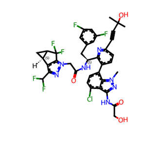 Cn1nc(NC(=O)CO)c2c(Cl)ccc(-c3ccc(C#CC(C)(C)O)nc3[C@H](Cc3cc(F)cc(F)c3)NC(=O)Cn3nc(C(F)F)c4c3C(F)(F)C3C[C@H]43)c21